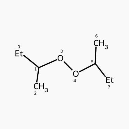 CCC(C)OOC(C)CC